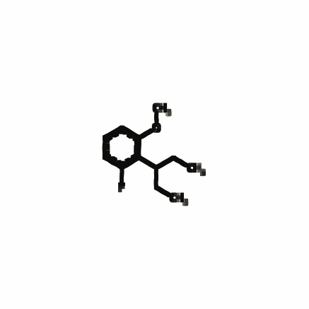 CCC(CC)c1c(F)cccc1OC